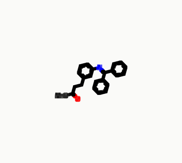 COC(=O)CCc1cccc(N=C(c2ccccc2)c2ccccc2)c1